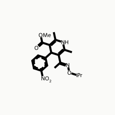 COC(=O)C1=C(C)NC(C)=C(C(C)=NOC(C)C)C1c1cccc([N+](=O)[O-])c1